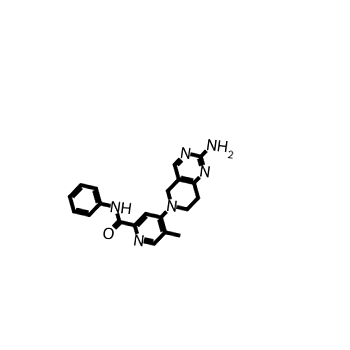 Cc1cnc(C(=O)Nc2ccccc2)cc1N1CCc2nc(N)ncc2C1